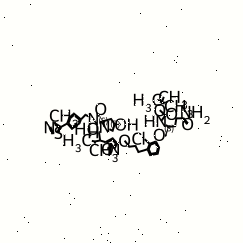 Cc1ncsc1-c1ccc(CNC(=O)[C@@H]2C[C@@H](O)CN2C(O)C(c2cc(OCCCc3cccc(OC[C@H](CCC(N)=O)NC(=O)OC(C)(C)C)c3Cl)no2)C(C)C)cc1